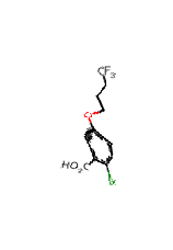 O=C(O)c1cc(OCCCC(F)(F)F)ccc1Br